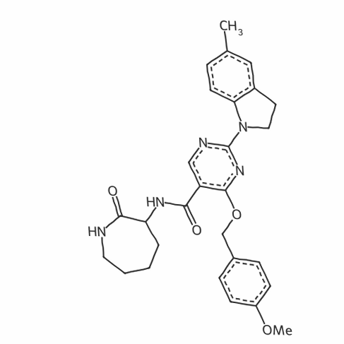 COc1ccc(COc2nc(N3CCc4cc(C)ccc43)ncc2C(=O)NC2CCCCNC2=O)cc1